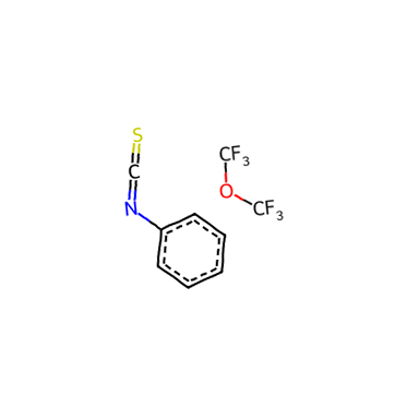 FC(F)(F)OC(F)(F)F.S=C=Nc1ccccc1